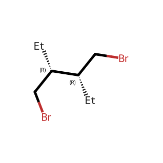 CC[C@@H](CBr)[C@@H](CC)CBr